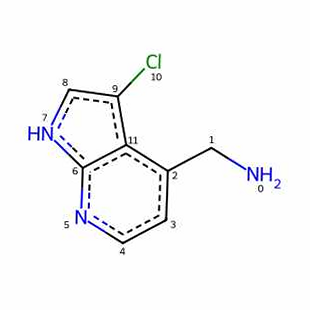 NCc1ccnc2[nH]cc(Cl)c12